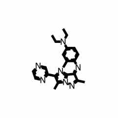 CCN(CC)c1ccc(/N=C2/C(C)=Nn3c2nc(-c2cnccn2)c3C)c(C)c1